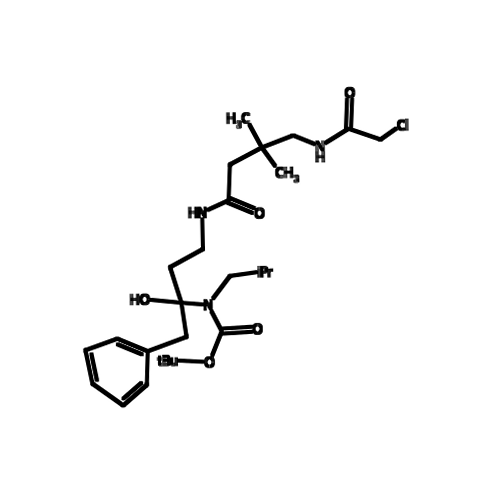 CC(C)CN(C(=O)OC(C)(C)C)C(O)(CCNC(=O)CC(C)(C)CNC(=O)CCl)Cc1ccccc1